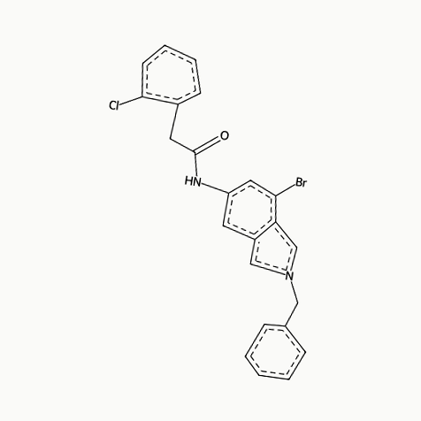 O=C(Cc1ccccc1Cl)Nc1cc(Br)c2cn(Cc3ccccc3)cc2c1